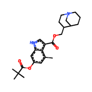 Cc1cc(OC(=O)C(C)(C)C)cc2[nH]cc(C(=O)OCC3CCN4CCCC3C4)c12